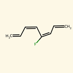 C=C/C=C\C(F)=C/C=C